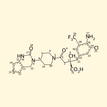 C[C@@](CC(=O)N1CCC(N2Cc3cscc3NC2=O)CC1)(Cc1cc(Cl)c(N)c(C(F)(F)F)c1)C(=O)O